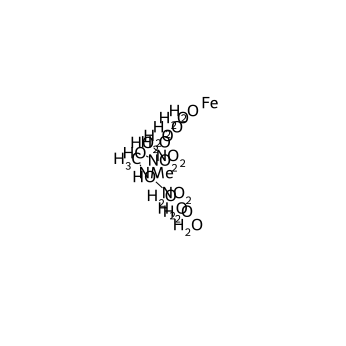 CNC.O.O.O.O.O.O.O.O.O.O=[N+]([O-])O.O=[N+]([O-])O.O=[N+]([O-])O.[Fe]